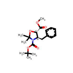 COC(=O)[C@H]1OC(C)(C)N(C(=O)OC(C)(C)C)[C@@H]1Cc1ccccc1